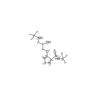 CC(C)(C)NCC(O)COc1nsnc1C(=O)NC(C)(C)C